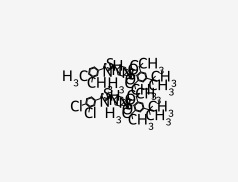 CC(C)c1cc(C(C)C)c(S(=O)(=O)N2CCN(c3nc(-c4ccc(Cl)c(Cl)c4)cs3)CC2)c(C(C)C)c1.Cc1ccc(-c2csc(N3CCN(S(=O)(=O)c4c(C(C)C)cc(C(C)C)cc4C(C)C)CC3)n2)cc1C